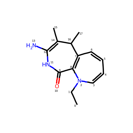 CCN1C=CC=CC2=C1C(=O)NC(N)=C(C)C2C